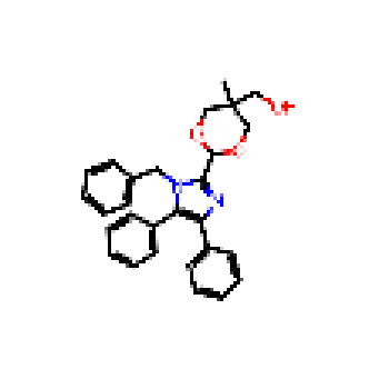 CC1(CO)COC(c2nc(-c3ccccc3)c(-c3ccccc3)n2Cc2ccccc2)OC1